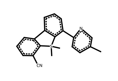 Cc1ccc(-c2cccc3c2S(C)(C)c2c(C#N)cccc2-3)nc1